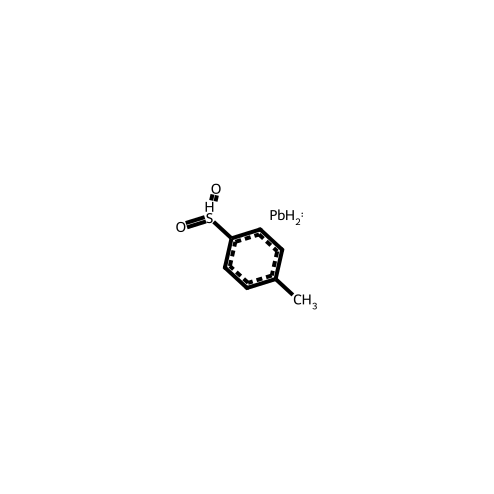 Cc1ccc([SH](=O)=O)cc1.[PbH2]